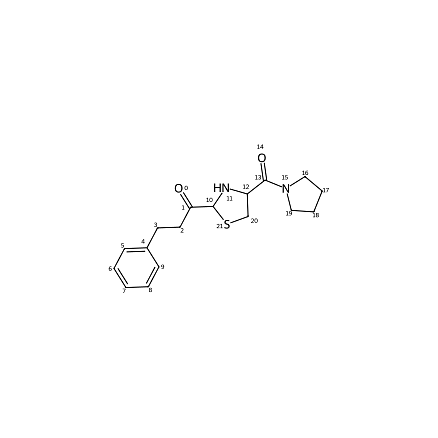 O=C(CCc1ccccc1)C1NC(C(=O)N2CCCC2)CS1